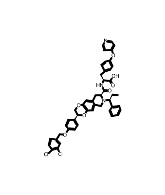 CC[C@@H](c1ccccc1)N1Cc2cc3c(cc2C[C@H]1C(=O)N[C@@H](Cc1ccc(Oc2ccncc2)cc1)C(=O)O)OC[C@H](c1ccc(OCc2ccc(Cl)c(Cl)c2)cc1)O3